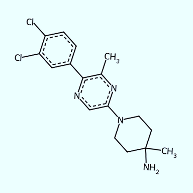 Cc1nc(N2CCC(C)(N)CC2)cnc1-c1ccc(Cl)c(Cl)c1